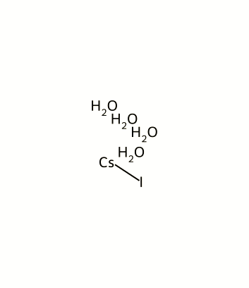 O.O.O.O.[I][Cs]